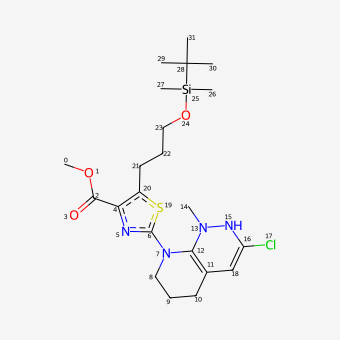 COC(=O)c1nc(N2CCCC3=C2N(C)NC(Cl)=C3)sc1CCCO[Si](C)(C)C(C)(C)C